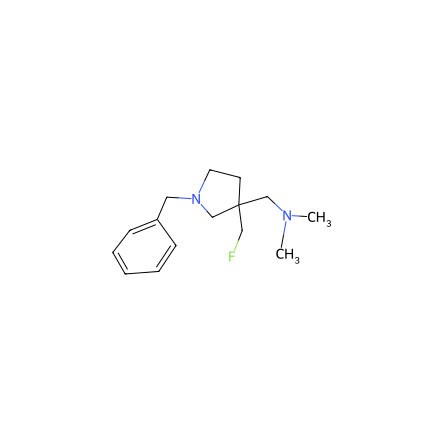 CN(C)CC1(CF)CCN(Cc2ccccc2)C1